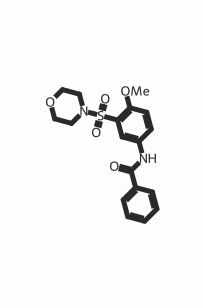 COc1ccc(NC(=O)c2ccccc2)cc1S(=O)(=O)N1CCOCC1